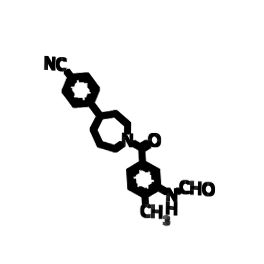 Cc1ccc(C(=O)N2CCCC(c3ccc(C#N)cc3)CC2)cc1NC=O